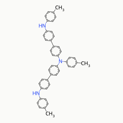 Cc1ccc(Nc2ccc(-c3ccc(N(c4ccc(C)cc4)c4ccc(-c5ccc(Nc6ccc(C)cc6)cc5)cc4)cc3)cc2)cc1